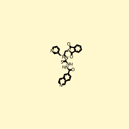 O=C(NNC(=S)N[C@H](Cc1cccnc1)CN1C(=O)c2ccccc2C1=O)c1ccc2cnccc2c1